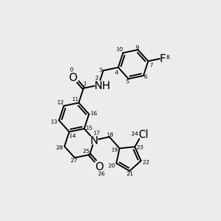 O=C(NCc1ccc(F)cc1)c1ccc2c(c1)N(CC1C=CC=C1Cl)C(=O)CC2